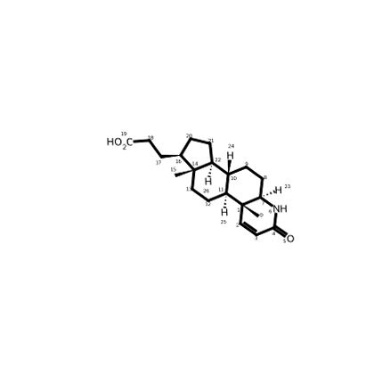 C[C@]12C=CC(=O)N[C@@H]1CC[C@@H]1[C@@H]2CC[C@]2(C)[C@@H](CCC(=O)O)CC[C@@H]12